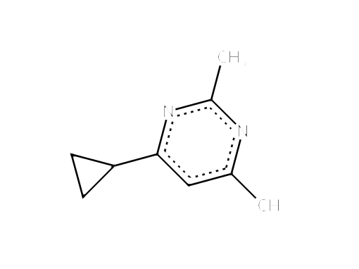 Cc1cc(C2CC2)nc(C)n1